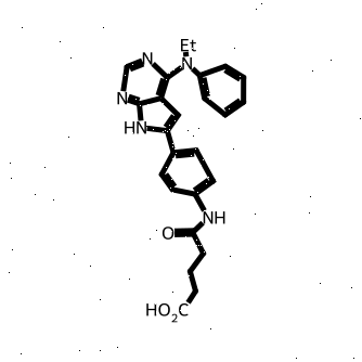 CCN(c1ccccc1)c1ncnc2[nH]c(-c3ccc(NC(=O)CCCC(=O)O)cc3)cc12